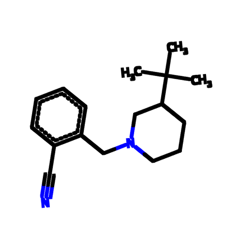 CC(C)(C)C1CCCN(Cc2ccccc2C#N)C1